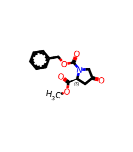 COC(=O)[C@@H]1CC(=O)CN1C(=O)OCc1ccccc1